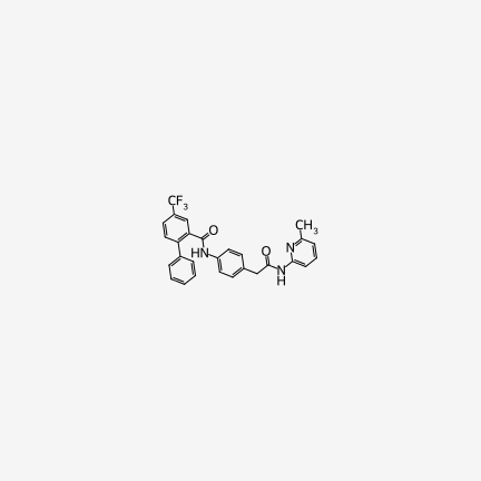 Cc1cccc(NC(=O)Cc2ccc(NC(=O)c3cc(C(F)(F)F)ccc3-c3ccccc3)cc2)n1